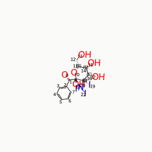 O=C(c1ccccc1)C1(O)O[C@H](CO)[C@@H](O)[C@H](O)[C@@]1(I)N(I)I